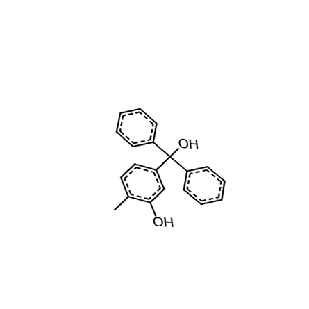 Cc1ccc(C(O)(c2ccccc2)c2ccccc2)cc1O